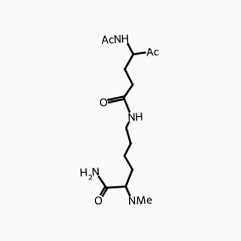 CNC(CCCCNC(=O)CCC(NC(C)=O)C(C)=O)C(N)=O